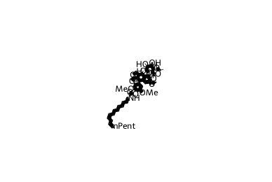 CCCCC/C=C\C/C=C\CCCCCCCCNC(=O)Oc1c(OC)cc([C@@H]2c3cc4c(cc3[C@@H](O[C@@H]3O[C@@H]5CO[C@@H](C)O[C@H]5[C@H](O)[C@H]3O)[C@H]3COC(=O)[C@H]23)OCO4)cc1OC